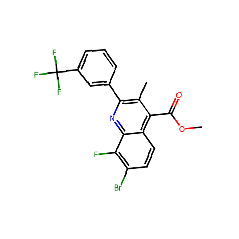 COC(=O)c1c(C)c(-c2cccc(C(F)(F)F)c2)nc2c(F)c(Br)ccc12